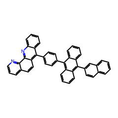 c1ccc2cc(-c3c4ccccc4c(-c4ccc(-c5c6ccccc6nc6c5ccc5cccnc56)cc4)c4ccccc34)ccc2c1